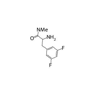 CNC(=O)C(N)Cc1cc(F)cc(F)c1